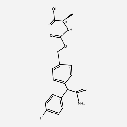 C[C@@H](NC(=O)OCc1ccc(C(C(N)=O)c2ccc(F)cc2)cc1)C(=O)O